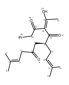 CC(C)=CCC(=O)C[C@H](CC=C(C)C)C(=O)/C(C(=O)CC(C)C)=C(\C)O